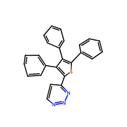 c1ccc(-c2sc(-c3ccnnn3)c(-c3ccccc3)c2-c2ccccc2)cc1